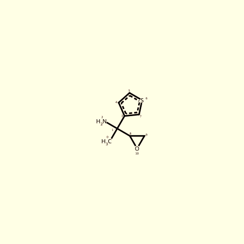 CC(N)(c1ccsc1)C1CO1